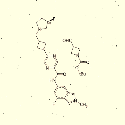 CC(C)(C)OC(=O)N1CC(C=O)C1.Cn1cc2cc(NC(=O)c3cnc(N4CC(CN5CC[C@@H](F)C5)C4)cn3)cc(F)c2n1